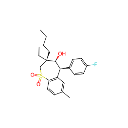 CCCC[C@]1(CC)CS(=O)(=O)c2ccc(C)cc2[C@H](c2ccc(F)cc2)[C@@H]1O